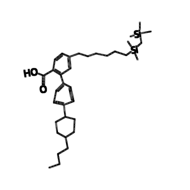 CCCCC1CCC(c2ccc(-c3cc(CCCCCC[Si](C)(C)C[Si](C)(C)C)ccc3C(=O)O)cc2)CC1